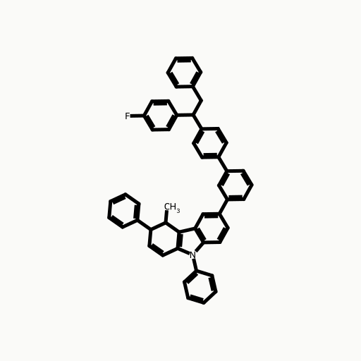 CC1c2c(n(-c3ccccc3)c3ccc(-c4cccc(-c5ccc(C(Cc6ccccc6)c6ccc(F)cc6)cc5)c4)cc23)C=CC1c1ccccc1